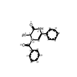 CC(C)C1C(=O)NC(c2ccccc2)=CN1C(=O)c1ccccc1